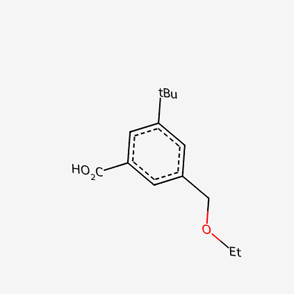 CCOCc1cc(C(=O)O)cc(C(C)(C)C)c1